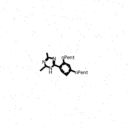 CCCCCc1ccc(C2=NC(C)=NC(C)N2)c(CCCCC)c1